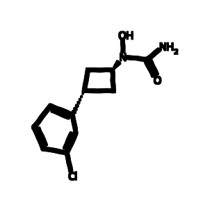 NC(=O)N(O)[C@H]1C[C@H](c2cccc(Cl)c2)C1